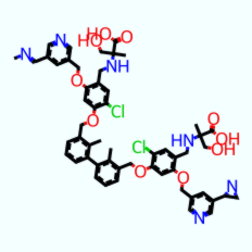 C/N=C/c1cncc(COc2cc(OCc3cccc(-c4cccc(COc5cc(OCc6cncc(C7=NC7)c6)c(CNC(C)(CO)C(=O)O)cc5Cl)c4C)c3C)c(Cl)cc2CNC(C)(CO)C(=O)O)c1